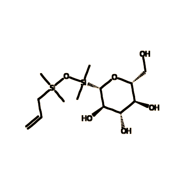 C=CC[Si](C)(C)O[Si](C)(C)[C@@H]1O[C@H](CO)[C@@H](O)[C@H](O)[C@H]1O